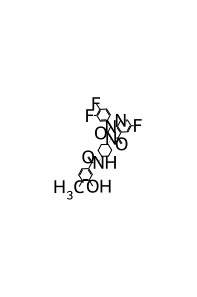 Cc1ccc(C(=O)N[C@H]2CC[C@@H](n3c(=O)c4cc(F)cnc4n(-c4ccc(F)c(F)c4)c3=O)CC2)cc1O